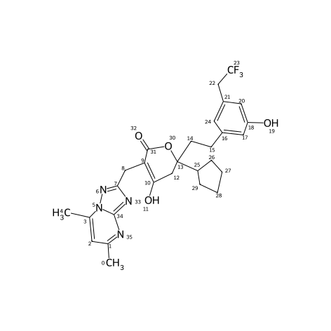 Cc1cc(C)n2nc(CC3=C(O)CC(CCc4cc(O)cc(CC(F)(F)F)c4)(C4CCCC4)OC3=O)nc2n1